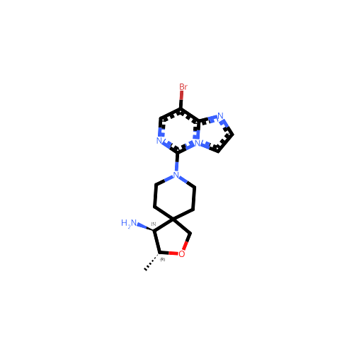 C[C@H]1OCC2(CCN(c3ncc(Br)c4nccn34)CC2)[C@@H]1N